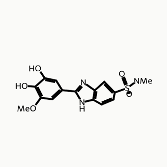 CNS(=O)(=O)c1ccc2[nH]c(-c3cc(O)c(O)c(OC)c3)nc2c1